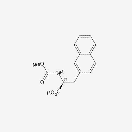 COC(=O)N[C@@H](Cc1ccc2ccccc2c1)C(=O)O